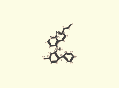 CCCc1ccc2c(Nc3cc(C)ccc3-c3ccccc3)ccnc2n1